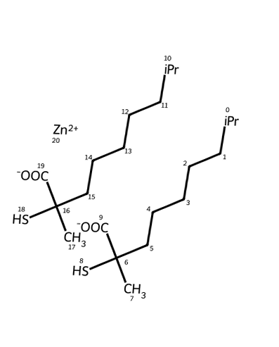 CC(C)CCCCCC(C)(S)C(=O)[O-].CC(C)CCCCCC(C)(S)C(=O)[O-].[Zn+2]